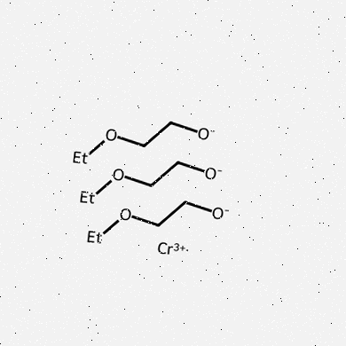 CCOCC[O-].CCOCC[O-].CCOCC[O-].[Cr+3]